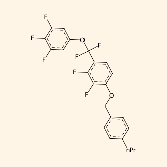 CCCc1ccc(COc2ccc(C(F)(F)Oc3cc(F)c(F)c(F)c3)c(F)c2F)cc1